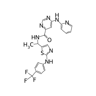 CC(NC(=O)c1cc(Nc2ccccn2)ncn1)c1cnc(Nc2ccc(C(F)(F)F)cc2)s1